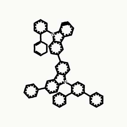 c1ccc2c3cc(-c4ccc5c(c4)c4cc(-c6ccccc6)ccc4n5-c4ccc(-c5ccccc5)cc4-c4ccccc4)ccc3n(-c3ccccc3C3=CC=CCC3)c2c#1